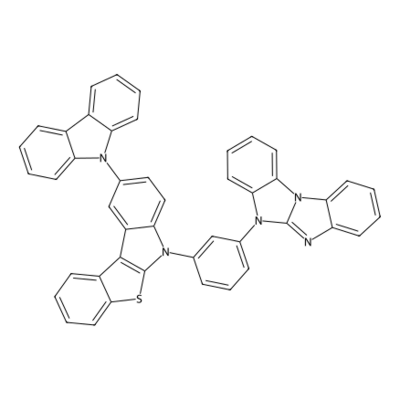 c1cc(-n2c3ccc(-n4c5ccccc5c5ccccc54)cc3c3c4ccccc4sc32)cc(-n2c3ccccc3n3c4ccccc4nc23)c1